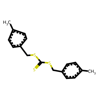 Cc1ccc(CSC(=S)SCc2ccc(C)cc2)cc1